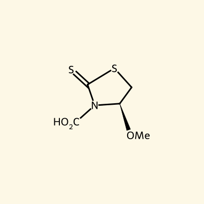 CO[C@@H]1CSC(=S)N1C(=O)O